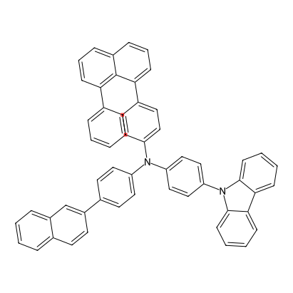 c1ccc(-c2cccc3cccc(-c4ccc(N(c5ccc(-c6ccc7ccccc7c6)cc5)c5ccc(-n6c7ccccc7c7ccccc76)cc5)cc4)c23)cc1